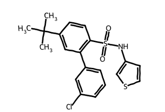 CC(C)(C)c1ccc(S(=O)(=O)Nc2ccsc2)c(-c2cccc(Cl)c2)c1